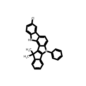 CC1(C)c2ccccc2-c2c1c1c3[nH]c4ccc(Cl)cc4c3ccc1n2-c1ccccc1